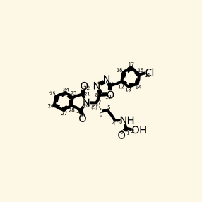 O=C(O)NCCC[C@@H](c1nnc(-c2ccc(Cl)cc2)o1)N1C(=O)c2ccccc2C1=O